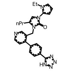 CCCc1cn(-c2cccn2CC)c(=O)n1Cc1cnccc1-c1ccc(-c2nnn[nH]2)cc1